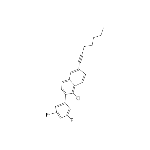 CCCCCC#Cc1ccc2c(Cl)c(-c3cc(F)cc(F)c3)ccc2c1